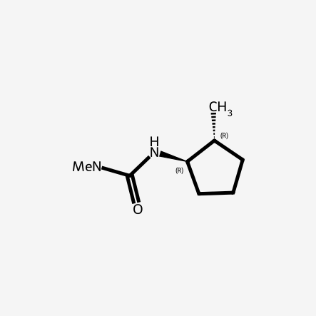 CNC(=O)N[C@@H]1CCC[C@H]1C